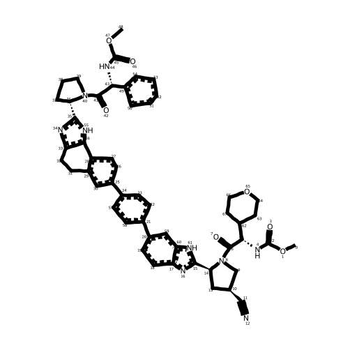 COC(=O)N[C@H](C(=O)N1C[C@@H](C#N)C[C@H]1c1nc2ccc(-c3ccc(-c4ccc5c(c4)CCc4nc([C@@H]6CCCN6C(=O)[C@H](NC(=O)OC)c6ccccc6)[nH]c4-5)cc3)cc2[nH]1)C1CCOCC1